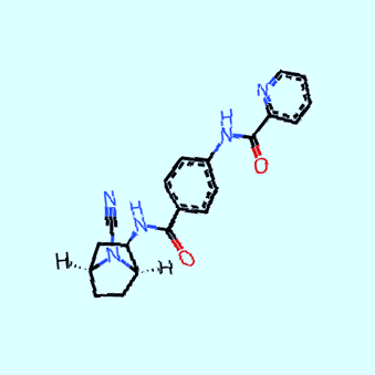 N#CN1[C@H]2CC[C@@H]1[C@H](NC(=O)c1ccc(NC(=O)c3ccccn3)cc1)C2